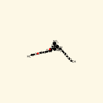 C#CCOCCOCCOCCOCCOCCC(=O)Nc1ccc(C(OC(=O)OC(c2ccc(NC(=O)CCOCCOCCOCCOCCOCC#C)cc2)c2ccc([N+](=O)[O-])cc2)c2ccc([N+](=O)[O-])cc2)cc1